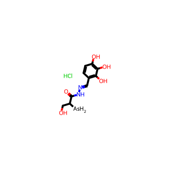 Cl.O=C(NN=Cc1ccc(O)c(O)c1O)C([AsH2])CO